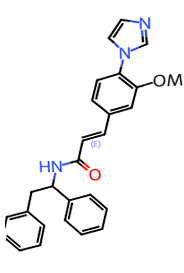 COc1cc(/C=C/C(=O)NC(Cc2ccccc2)c2ccccc2)ccc1-n1ccnc1